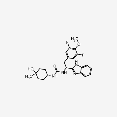 COc1c(F)cc(CC(NC(=O)N[C@H]2CC[C@@](C)(O)CC2)c2nc3ccccc3[nH]2)cc1F